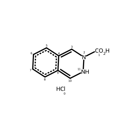 Cl.O=C(O)N1C=c2ccccc2=CN1